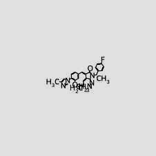 C=C/C=C1C(=C\c2ccc(-n3cnc(C)c3)c(OC)c2)/C(=O)N(C(C)c2ccc(F)cc2)C/1=N/N